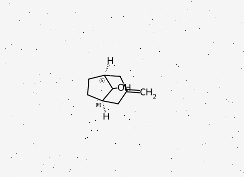 C=C1C[C@H]2CC[C@@H](C1)C2O